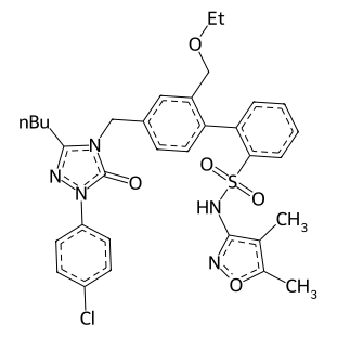 CCCCc1nn(-c2ccc(Cl)cc2)c(=O)n1Cc1ccc(-c2ccccc2S(=O)(=O)Nc2noc(C)c2C)c(COCC)c1